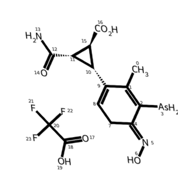 CC1=C([AsH2])C(=NO)CC=C1[C@@H]1[C@H](C(N)=O)[C@H]1C(=O)O.O=C(O)C(F)(F)F